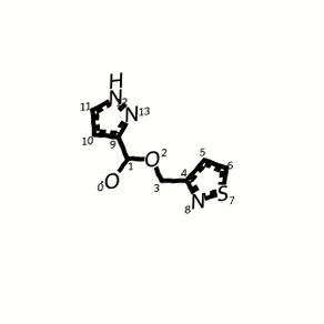 [O]C(OCc1ccsn1)c1cc[nH]n1